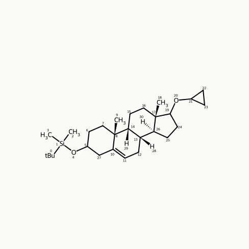 CC(C)(C)[Si](C)(C)OC1CC[C@@]2(C)C(=CC[C@@H]3[C@H]2CC[C@]2(C)C(OC4CC4)CC[C@@H]32)C1